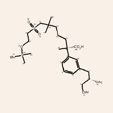 CC(=O)OC[C@H](Cc1cccc([C@@](C)(CCCC(C)(C)CS(=O)(=O)CCO[Si](C)(C)C(C)(C)C)C(=O)O)c1)OC(C)=O